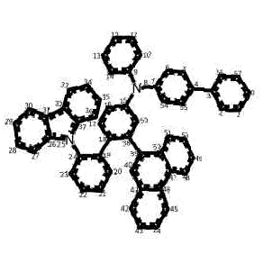 c1ccc(-c2ccc(N(c3ccccc3)c3ccc(-c4ccccc4-n4c5ccccc5c5ccccc54)c(-c4cc5ccccc5c5ccccc45)c3)cc2)cc1